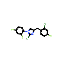 Fc1ccc(-n2cc(Cc3ccc(F)cc3Cl)nc2Cl)c(F)c1